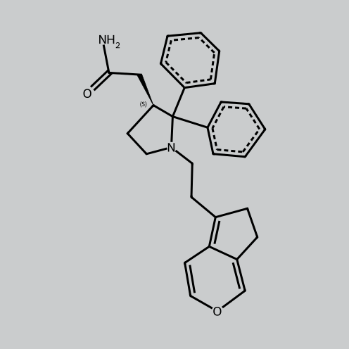 NC(=O)C[C@@H]1CCN(CCC2=C3C=COC=C3CC2)C1(c1ccccc1)c1ccccc1